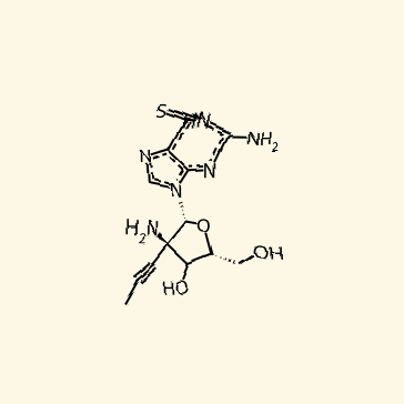 CC#C[C@@]1(N)C(O)[C@@H](CO)O[C@H]1n1cnc2c(=S)[nH]c(N)nc21